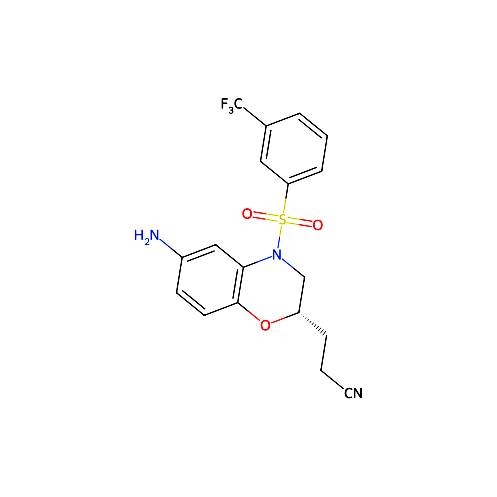 N#CCC[C@H]1CN(S(=O)(=O)c2cccc(C(F)(F)F)c2)c2cc(N)ccc2O1